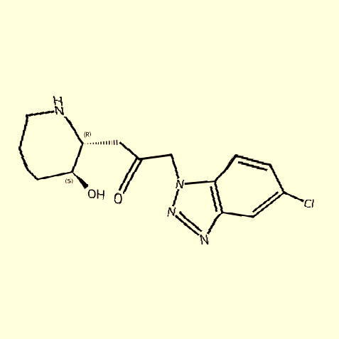 O=C(C[C@H]1NCCC[C@@H]1O)Cn1nnc2cc(Cl)ccc21